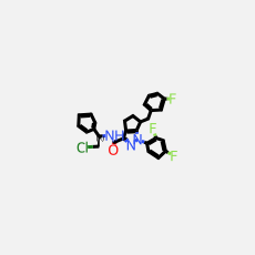 O=C(N[C@@H](CCl)c1ccccc1)c1nn(-c2ccc(F)cc2F)c2c1CCC2Cc1cccc(F)c1